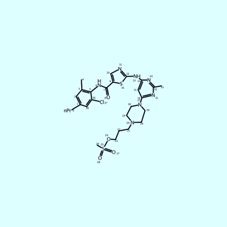 CCCc1cc(C)c(NC(=O)c2cnc(Nc3cc(N4CCN(CCCOS(C)(=O)=O)CC4)nc(C)n3)s2)c(Cl)c1